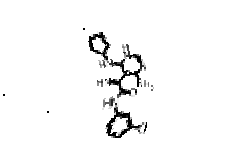 N=C(C(=O)Nc1cccc(Cl)c1)C1=C(N)N=CNC1NC1CCCC1